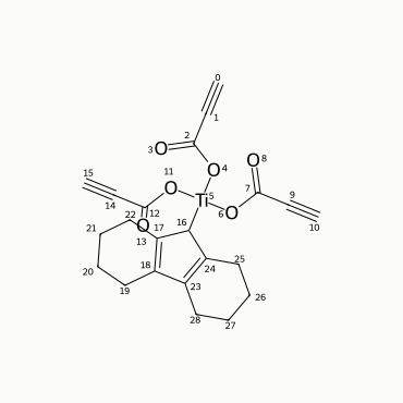 C#CC(=O)[O][Ti]([O]C(=O)C#C)([O]C(=O)C#C)[CH]1C2=C(CCCC2)C2=C1CCCC2